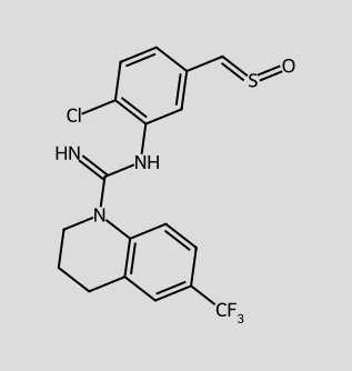 N=C(Nc1cc(C=S=O)ccc1Cl)N1CCCc2cc(C(F)(F)F)ccc21